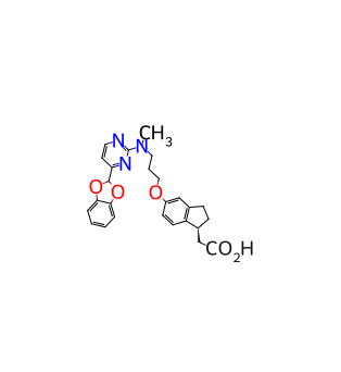 CN(CCCOc1ccc2c(c1)CC[C@H]2CC(=O)O)c1nccc(C2Oc3ccccc3O2)n1